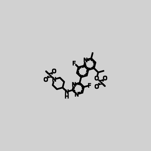 Cc1cc(C(C)OS(C)(=O)=O)c2cc(-c3nc(NC4CCN(S(C)(=O)=O)CC4)ncc3F)cc(F)c2n1